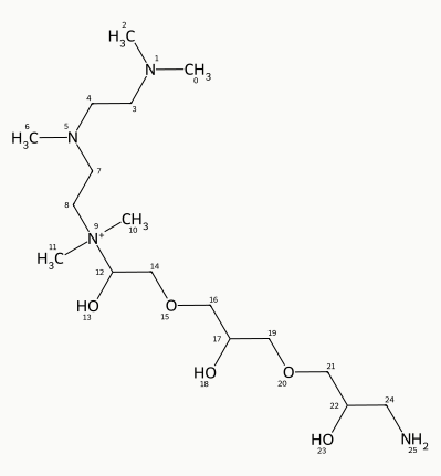 CN(C)CCN(C)CC[N+](C)(C)C(O)COCC(O)COCC(O)CN